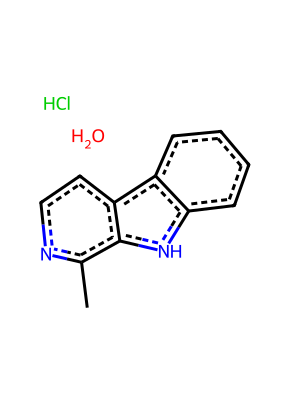 Cc1nccc2c1[nH]c1ccccc12.Cl.O